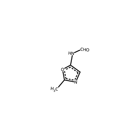 Cc1ncc(NC=O)o1